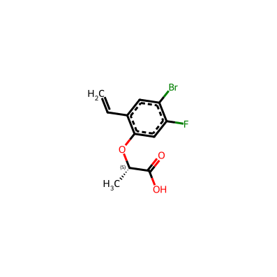 C=Cc1cc(Br)c(F)cc1O[C@@H](C)C(=O)O